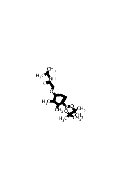 CC(C)NC(=O)COC1=CC=C(B2OC(C)(C)C(C)(C)O2)C(C)C1C